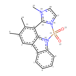 Cc1cc2c3ccccc3n3c2c(c1C)-c1n(cc[n+]1C)S3(=O)=O